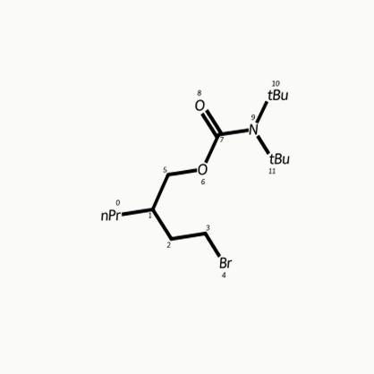 CCCC(CCBr)COC(=O)N(C(C)(C)C)C(C)(C)C